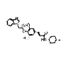 COc1cc(C=CC(=O)N[C@H]2CC[C@H](C)CC2)ccc1OCCn1cnc2ccccc21.Cl